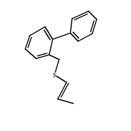 CC=CSCc1ccccc1-c1ccccc1